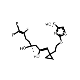 C[C@](O)(CCC(F)=C(F)F)C/C(O)=C/C1(CCSc2nc(C(=O)O)cs2)CC1